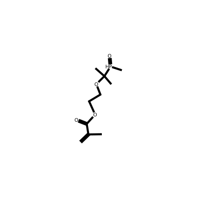 C=C(C)C(=O)OCCOC(C)(C)[PH](C)=O